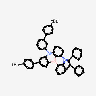 CC(C)(C)c1ccc(-c2cccc(N3c4cc(-c5ccc(C(C)(C)C)cc5)ccc4B4c5c3cccc5-n3c(-c5ccccc5)c(-c5ccccc5)c5cccc4c53)c2)cc1